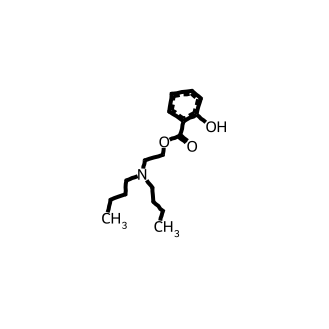 CCCCN(CCCC)CCOC(=O)c1ccccc1O